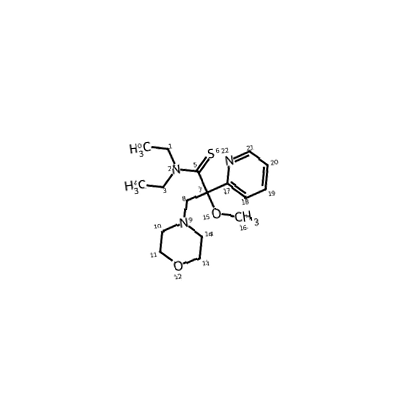 CCN(CC)C(=S)C(CN1CCOCC1)(OC)c1ccccn1